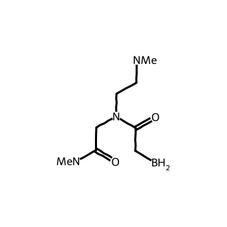 BCC(=O)N(CCNC)CC(=O)NC